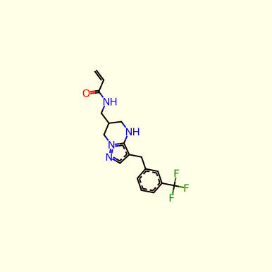 C=CC(=O)NCC1CNc2c(Cc3cccc(C(F)(F)F)c3)cnn2C1